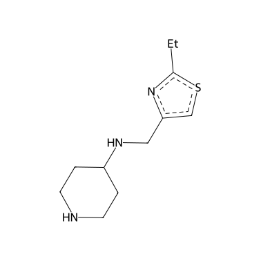 CCc1nc(CNC2CCNCC2)cs1